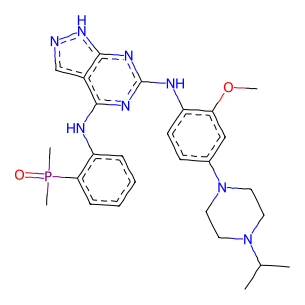 COc1cc(N2CCN(C(C)C)CC2)ccc1Nc1nc(Nc2ccccc2P(C)(C)=O)c2cn[nH]c2n1